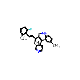 C=C(/C=C/c1c(C)cccc1F)C1=C(c2ccncc2)c2cc(C)ccc2NC1